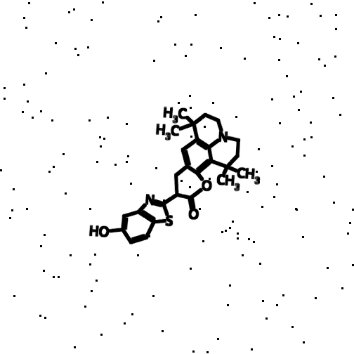 CC1(C)CCN2CCC(C)(C)c3c4c(cc1c32)CC(c1nc2cc(O)ccc2s1)C(=O)O4